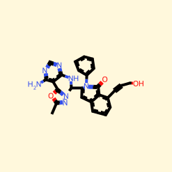 Cc1nnc(-c2c(N)ncnc2NC(C)c2cc3cccc(C#CCO)c3c(=O)n2-c2ccccc2)o1